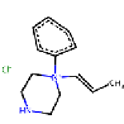 CC=C[N+]1(c2ccccc2)CCNCC1.[Cl-]